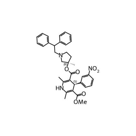 COC(=O)C1=C(C)NC(C)=C(C(=O)O[C@]2(C)CCN(CC(c3ccccc3)c3ccccc3)C2)[C@H]1c1cccc([N+](=O)[O-])c1